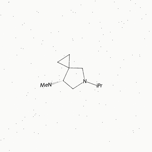 CN[C@H]1CN(C(C)C)CC12CC2